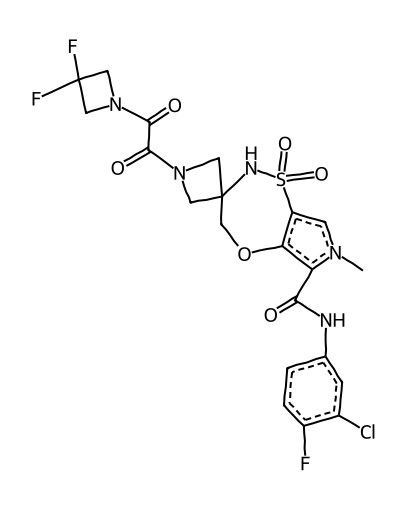 Cn1cc2c(c1C(=O)Nc1ccc(F)c(Cl)c1)OCC1(CN(C(=O)C(=O)N3CC(F)(F)C3)C1)NS2(=O)=O